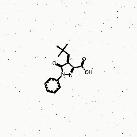 CC(C)(C)/C=C1\C(=O)N(c2ccccc2)N=C1C(=O)O